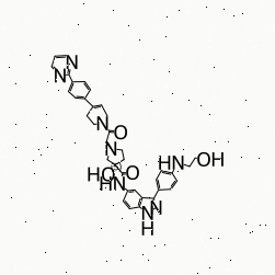 O=C(CN1CC[C@@](O)(C(=O)Nc2ccc3[nH]nc(-c4ccc(NCCO)cc4)c3c2)C1)N1CC=C(c2ccc(-c3ncccn3)cc2)CC1